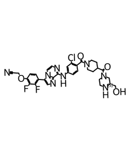 N#CCOc1ccc(-c2cnc3c(Nc4ccc(C(=O)N5CCC(C(=O)N6CCN[C@H](CO)C6)CC5)c(Cl)c4)nccn23)c(F)c1F